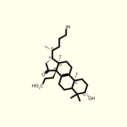 CC(C)CCC[C@@H](C)[C@H]1CC(=O)[C@@]2(CCC(=O)O)C3=C(CC[C@]12C)[C@@]1(C)CC[C@H](O)C(C)(C)C1CC3